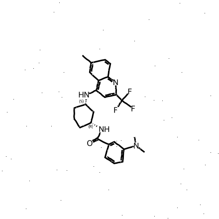 Cc1ccc2nc(C(F)(F)F)cc(N[C@H]3CCC[C@@H](NC(=O)c4cccc(N(C)C)c4)C3)c2c1